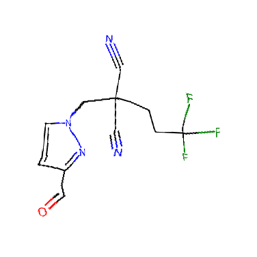 N#CC(C#N)(CCC(F)(F)F)Cn1ccc(C=O)n1